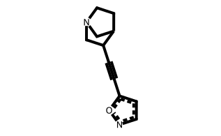 C(#CC1CN2CCC1C2)c1ccno1